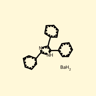 [BaH2].c1ccc(-c2nc(-c3ccccc3)c(-c3ccccc3)[nH]2)cc1